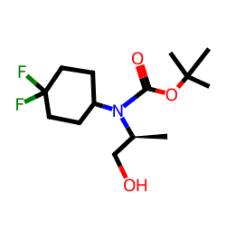 C[C@@H](CO)N(C(=O)OC(C)(C)C)C1CCC(F)(F)CC1